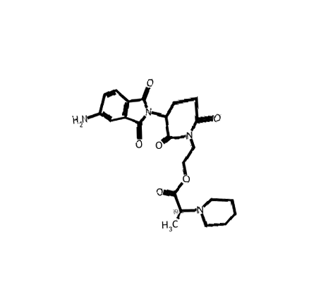 C[C@@H](C(=O)OCCN1C(=O)CCC(N2C(=O)c3ccc(N)cc3C2=O)C1=O)N1CCCCC1